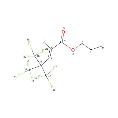 CCCOC(=O)C(C)=CC(C(F)(F)F)(C(F)(F)F)C(F)(F)F